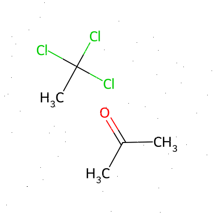 CC(C)=O.CC(Cl)(Cl)Cl